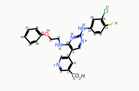 O=C(O)c1cncc(-c2cnc(Nc3ccc(F)c(Cl)c3)nc2NCCOc2ccccc2)c1